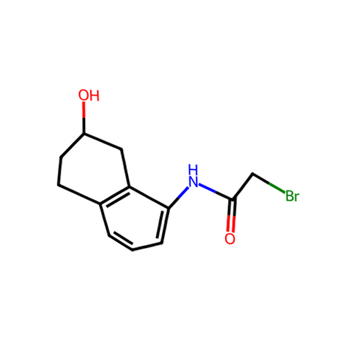 O=C(CBr)Nc1cccc2c1CC(O)CC2